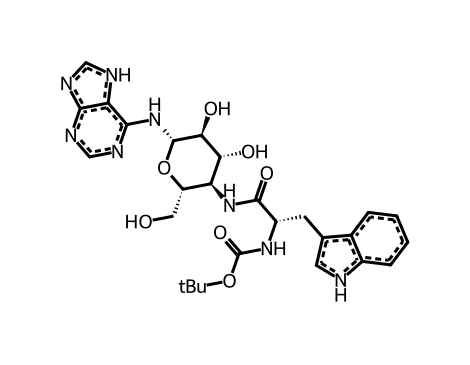 CC(C)(C)OC(=O)N[C@@H](Cc1c[nH]c2ccccc12)C(=O)N[C@@H]1[C@@H](O)[C@H](O)[C@@H](Nc2ncnc3nc[nH]c23)O[C@H]1CO